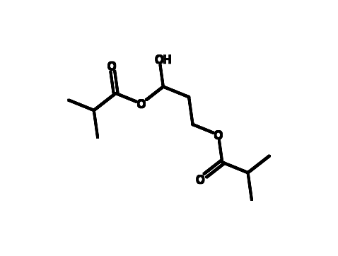 CC(C)C(=O)OCCC(O)OC(=O)C(C)C